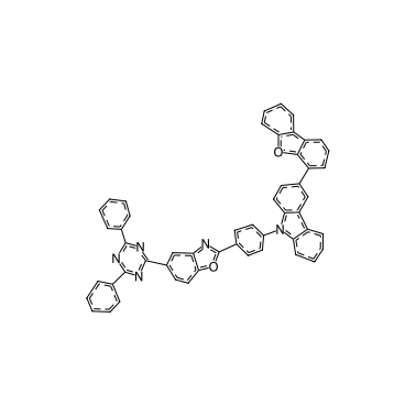 c1ccc(-c2nc(-c3ccccc3)nc(-c3ccc4oc(-c5ccc(-n6c7ccccc7c7cc(-c8cccc9c8oc8ccccc89)ccc76)cc5)nc4c3)n2)cc1